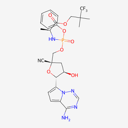 C[C@H](NP(=O)(OC[C@]1(C#N)C[C@@H](O)[C@H](c2ccc3c(N)ncnn23)O1)Oc1ccccc1)C(=O)OCC(C)(C)C(F)(F)F